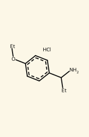 CCOc1ccc(C(N)CC)cc1.Cl